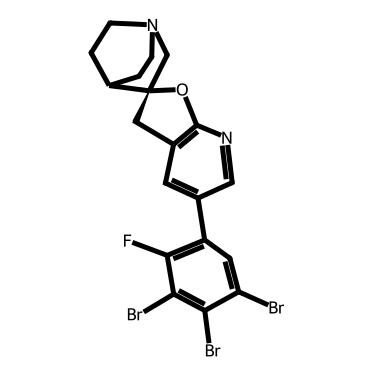 Fc1c(-c2cnc3c(c2)C[C@@]2(CN4CCC2CC4)O3)cc(Br)c(Br)c1Br